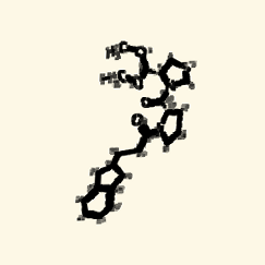 COC(OC)[C@@H]1CSCN1C(=O)[C@@H]1CCCN1C(=O)CCC1Cc2ccccc2C1